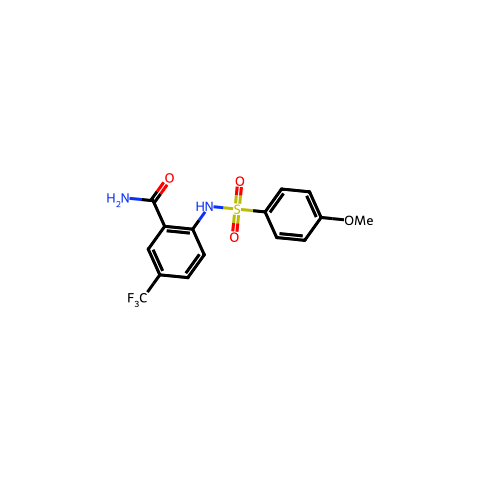 COc1ccc(S(=O)(=O)Nc2ccc(C(F)(F)F)cc2C(N)=O)cc1